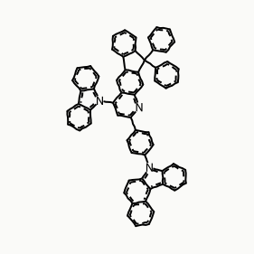 c1ccc(C2(c3ccccc3)c3ccccc3-c3cc4c(-n5c6ccccc6c6ccccc65)cc(-c5ccc(-n6c7ccccc7c7c8ccccc8ccc76)cc5)nc4cc32)cc1